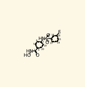 O=C(NO)c1ccc(NS(=O)(=O)c2cccc(F)c2)cc1